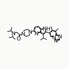 Cc1c(-c2[nH]c3ccc(N4CCN(C(=O)CN(C(C)C)C(C)C)CC4)nc3c2C(C)C)cn2ncnc2c1C